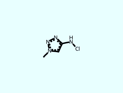 Cn1cc(NCl)nn1